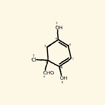 O=CC1(Cl)CC(O)=CC=C1O